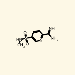 CNS(=O)(=O)c1ccc(C(=N)N)nc1